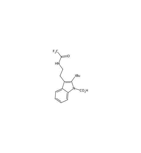 CC(C)(C)c1c(CCNC(=O)C(F)(F)F)c2ccccc2n1C(=O)O